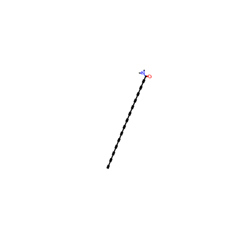 C#CC#CC#CC#CC#CC#CC#CC#CC#CC#CC#CC#CC#CC#CC(=O)N(C)C